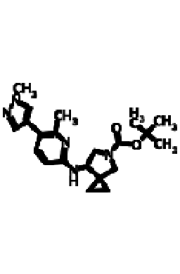 Cc1nc(NC2CN(C(=O)OC(C)(C)C)CC23CC3)ccc1-c1cnn(C)c1